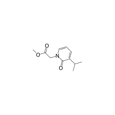 COC(=O)Cn1cccc(C(C)C)c1=O